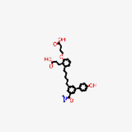 CN(C)C(=O)c1cc(CCCCCc2cccc(OCCCC(=O)O)c2CCC(=O)O)cc(-c2ccc(O)cc2)c1